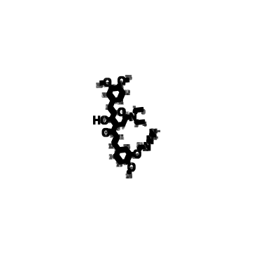 CCN(CC)C(=O)C/C(C(=O)/C=C/c1ccc(OC)c(OCN=[N+]=[N-])c1)=C(O)\C=C\c1ccc(OC)c(OC)c1